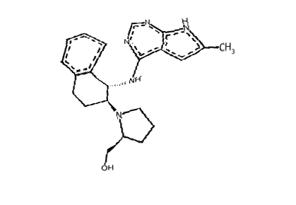 Cc1cc2c(N[C@H]3c4ccccc4CC[C@@H]3N3CCC[C@H]3CO)ncnc2[nH]1